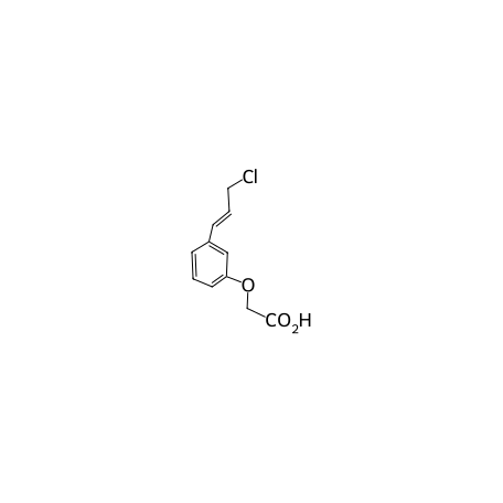 O=C(O)COc1cccc(C=CCCl)c1